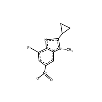 Cn1c(C2CC2)nc2c(Br)cc([N+](=O)[O-])cc21